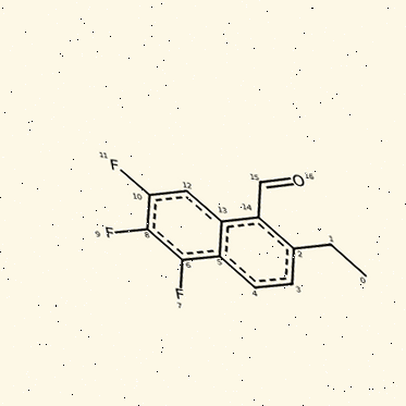 CCc1ccc2c(F)c(F)c(F)cc2c1C=O